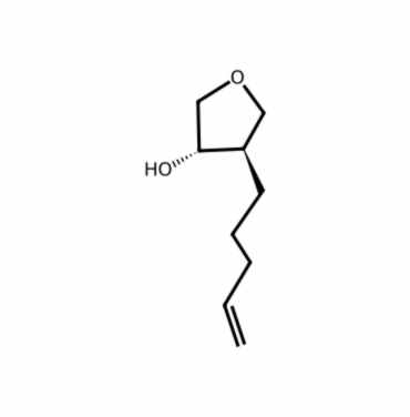 C=CCCC[C@@H]1COC[C@H]1O